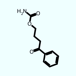 NC(=O)OCCCC(=O)c1ccccc1